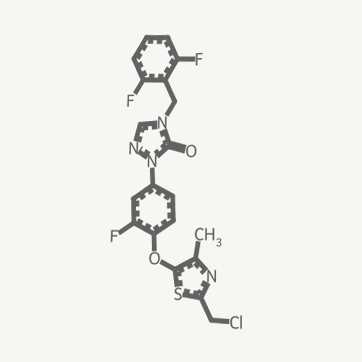 Cc1nc(CCl)sc1Oc1ccc(-n2ncn(Cc3c(F)cccc3F)c2=O)cc1F